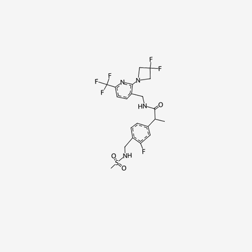 CC(C(=O)NCc1ccc(C(F)(F)F)nc1N1CC(F)(F)C1)c1ccc(CNS(C)(=O)=O)c(F)c1